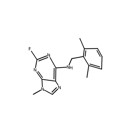 Cc1cccc(C)c1CNc1nc(F)nc2c1ncn2C